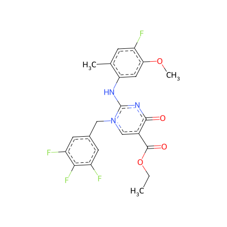 CCOC(=O)c1cn(Cc2cc(F)c(F)c(F)c2)c(Nc2cc(OC)c(F)cc2C)nc1=O